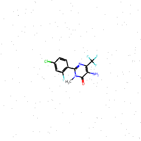 Cn1c(-c2ccc(Cl)cc2F)nc(C(F)(F)F)c(N)c1=O